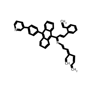 C=C\C=C/C(C=C)=C/C=C/N=C(\C=C\c1ccccc1C=C)c1c2ccccc2c(-c2ccc(-c3cccnc3)cc2)c2ccccc12